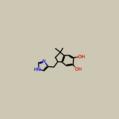 CC1(C)CC(Cc2c[nH]cn2)c2cc(O)c(O)cc21